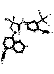 C[C@](O)(CNc1ccc(C#N)c2ccccc12)C(=O)Nc1ccc(C#N)c(C(F)(F)F)c1